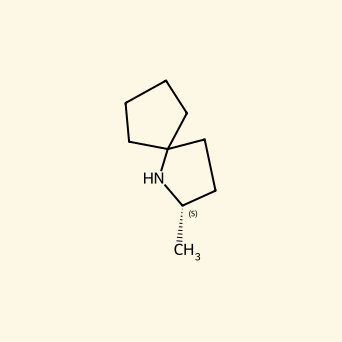 C[C@H]1CCC2(CCCC2)N1